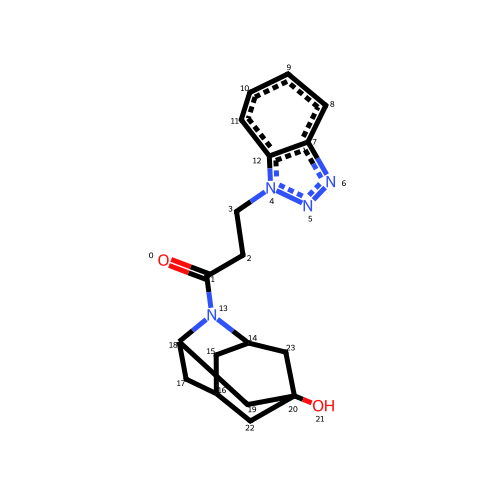 O=C(CCn1nnc2ccccc21)N1C2CC3CC1CC(O)(C3)C2